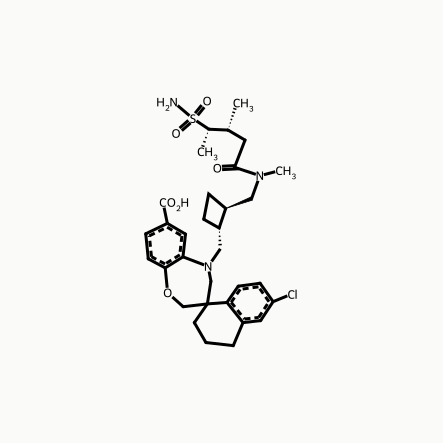 C[C@H](CC(=O)N(C)C[C@@H]1CC[C@H]1CN1CC2(CCCc3cc(Cl)ccc32)COc2ccc(C(=O)O)cc21)[C@H](C)S(N)(=O)=O